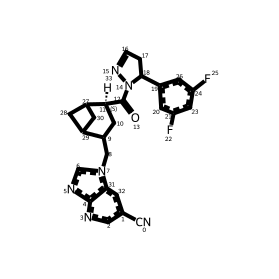 N#Cc1cnc2ncn(CC3C[C@H](C(=O)N4N=CCC4c4cc(F)cc(F)c4)C4CC3C4)c2c1